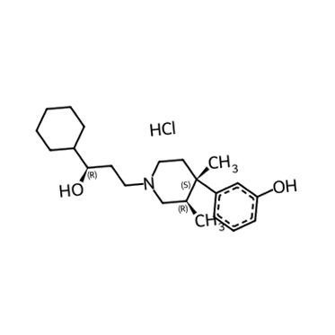 C[C@H]1CN(CC[C@@H](O)C2CCCCC2)CC[C@]1(C)c1cccc(O)c1.Cl